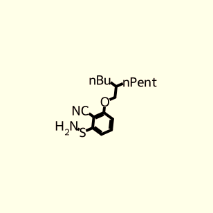 CCCCCC(CCCC)COc1cccc(SN)c1C#N